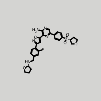 Nc1ncc(-c2ccc(S(=O)(=O)[C@@H]3CCOC3)cc2)nc1-c1cc(-c2ccc(CN[C@@H]3CCCO3)cc2F)no1